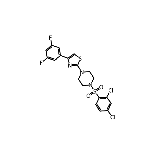 O=S(=O)(c1ccc(Cl)cc1Cl)N1CCN(c2nc(-c3cc(F)cc(F)c3)cs2)CC1